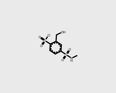 CNS(=O)(=O)c1ccc(S(=O)(=O)Cl)c(CO)c1